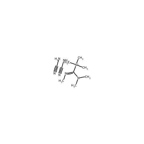 C/N=C(\N(C)C)[N+](C)(C)C.N#CN.N#CN